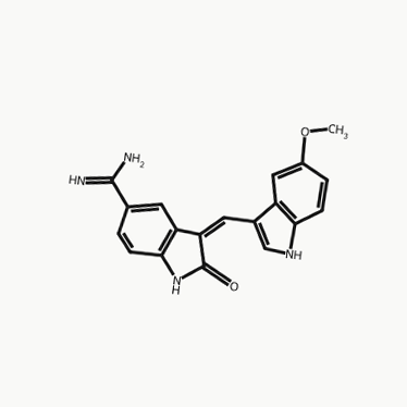 COc1ccc2[nH]cc(C=C3C(=O)Nc4ccc(C(=N)N)cc43)c2c1